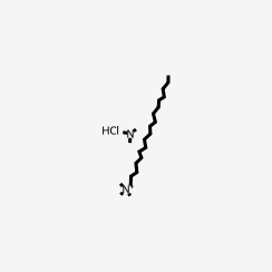 CCCCCCCCCCCCCCCCCC[N+](C)(C)C.CN(C)C.Cl